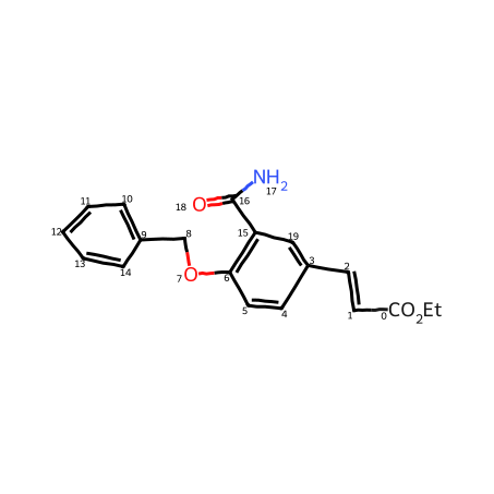 CCOC(=O)C=Cc1ccc(OCc2ccccc2)c(C(N)=O)c1